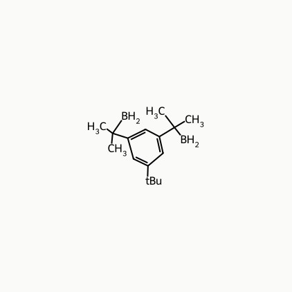 BC(C)(C)c1cc(C(B)(C)C)cc(C(C)(C)C)c1